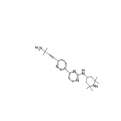 CC(C)(N)C#Cc1ccc(-c2ccnc(NC3CC(C)(C)NC(C)(C)C3)n2)cn1